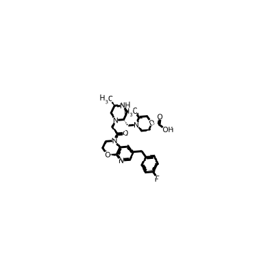 CC1COCCN1C[C@H]1CN[C@H](C)CN1CC(=O)N1CCOc2ncc(Cc3ccc(F)cc3)cc21.O=CO